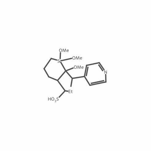 CCC(C1CCC[Si](OC)(OC)C1(OC)C(C)c1ccncc1)S(=O)(=O)O